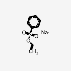 C=COS(=O)(=O)c1ccccc1.[Na]